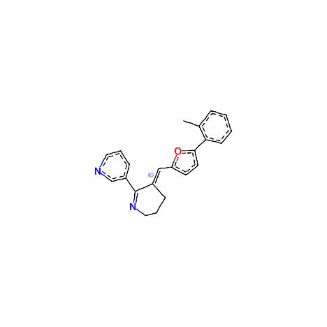 Cc1ccccc1-c1ccc(/C=C2\CCCN=C2c2cccnc2)o1